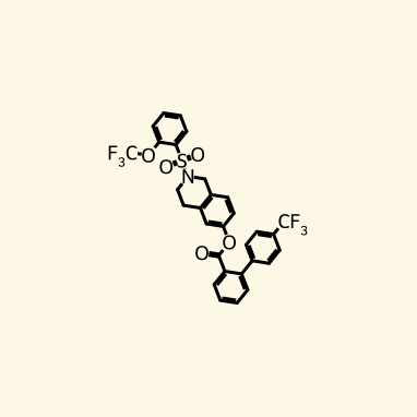 O=C(Oc1ccc2c(c1)CCN(S(=O)(=O)c1ccccc1OC(F)(F)F)C2)c1ccccc1-c1ccc(C(F)(F)F)cc1